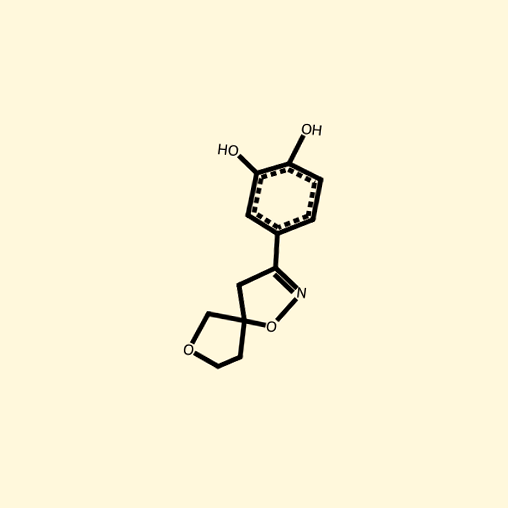 Oc1ccc(C2=NOC3(CCOC3)C2)cc1O